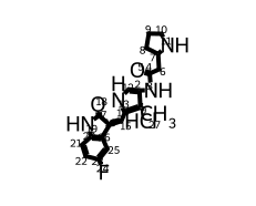 Cc1c(NC(=O)CC2CCCN2)c[nH]c1/C=C1\C(=O)Nc2ccc(F)cc21.Cl